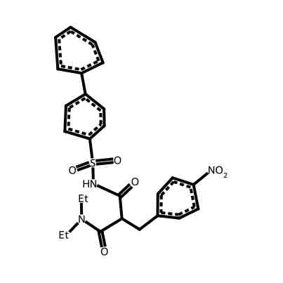 CCN(CC)C(=O)C(Cc1ccc([N+](=O)[O-])cc1)C(=O)NS(=O)(=O)c1ccc(-c2ccccc2)cc1